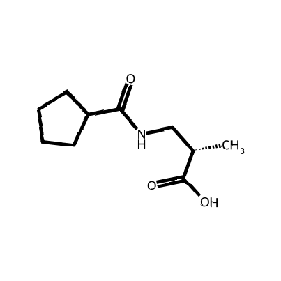 C[C@@H](CNC(=O)C1CCCC1)C(=O)O